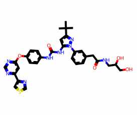 CC(C)(C)c1cc(NC(=O)Nc2ccc(Oc3cc(-c4cscn4)ncn3)cc2)n(-c2cccc(CC(=O)NCC(O)CO)c2)n1